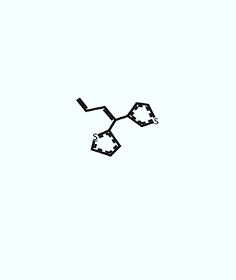 C=CC=C(c1ccsc1)c1cccs1